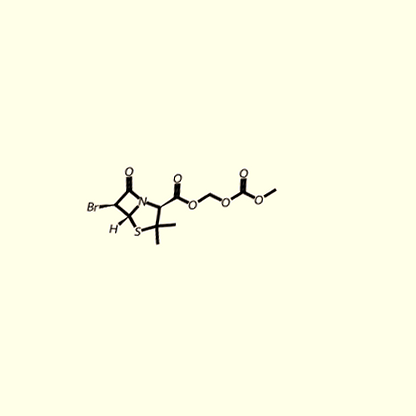 COC(=O)OCOC(=O)[C@@H]1N2C(=O)[C@H](Br)[C@H]2SC1(C)C